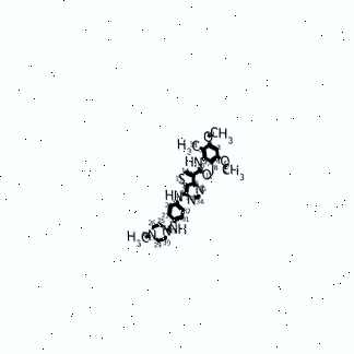 COc1cc(OC)c(I)c(NC(=O)c2csc3c(Nc4ccc(NN5CCN(C)CC5)cc4)ncnc23)c1C